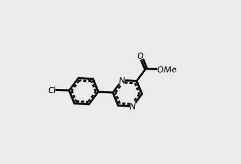 COC(=O)c1cncc(-c2ccc(Cl)cc2)n1